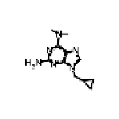 CN(C)c1nc(N)nc2c1ncn2C[C]1CC1